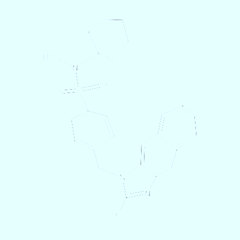 Cc1nc2cc3ccccc3cc2n1Cc1ccc(S(=O)(=O)N(C)C2CCCCC2)cc1